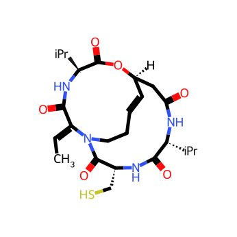 C/C=C1/C(=O)N[C@@H](C(C)C)C(=O)O[C@@H]2/C=C/CCN1C(=O)[C@@H](CS)NC(=O)[C@@H](C(C)C)NC(=O)C2